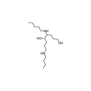 CCCCCNC(CCCO)C(O)CCCNCCCC